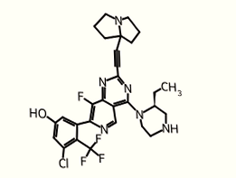 CC[C@H]1CNCCN1c1nc(C#CC23CCCN2CCC3)nc2c(F)c(-c3cc(O)cc(Cl)c3C(F)(F)F)ncc12